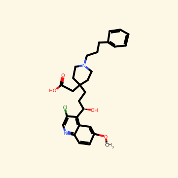 COc1ccc2ncc(Cl)c([C@H](O)CCC3(CC(=O)O)CCN(CCCc4ccccc4)CC3)c2c1